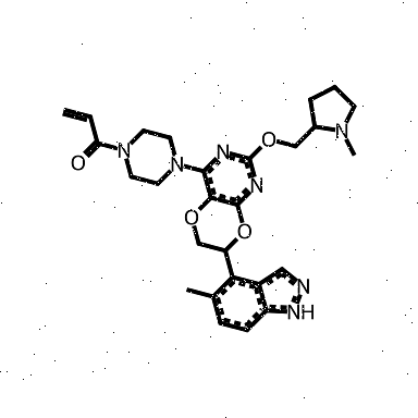 C=CC(=O)N1CCN(c2nc(OCC3CCCN3C)nc3c2OCC(c2c(C)ccc4[nH]ncc24)O3)CC1